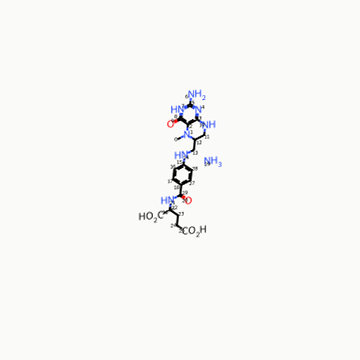 CN1c2c(nc(N)[nH]c2=O)NCC1CNc1ccc(C(=O)N[C@@H](CCC(=O)O)C(=O)O)cc1.N